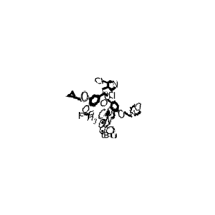 CC(C)(C)OC(=O)N(Cc1cc(C(=O)O[C@@H](Cc2c(Cl)cncc2Cl)c2ccc(OC(F)F)c(OCC3CC3)c2)ccc1OCCN1CCOCC1)S(C)(=O)=O